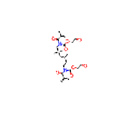 C=C(C)C(=O)N(CCC(C)CC(C)(C)CN(C(=O)OCC=O)C(=O)C(=C)C)C(=O)OCC=O